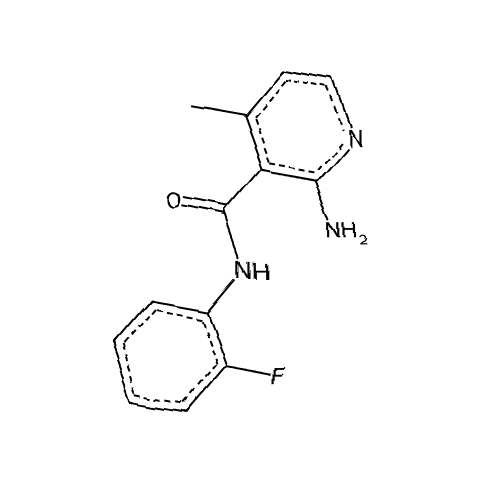 Cc1ccnc(N)c1C(=O)Nc1ccccc1F